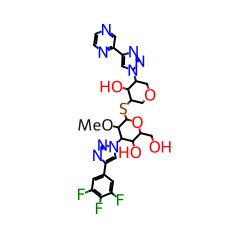 COC1C(SC2COCC(n3cc(-c4cnccn4)nn3)C2O)OC(CO)C(O)C1n1cc(-c2cc(F)c(F)c(F)c2)nn1